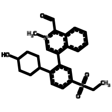 CCS(=O)(=O)c1ccc(C2CCC(O)CC2)c(-c2c[n+](C)c(C=O)c3ccccc23)c1